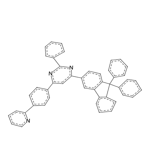 c1ccc(-c2nc(-c3ccc(-c4ccccn4)cc3)cc(-c3ccc4c(c3)-c3ccccc3C4(c3ccccc3)c3ccccc3)n2)cc1